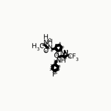 C[C@H](N)C(=O)NCc1cccc(-n2nc(C(F)(F)F)cc2C(=O)NCc2ccc(F)cc2)c1